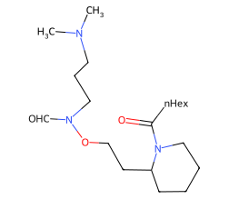 CCCCCCC(=O)N1CCCCC1CCON(C=O)CCCN(C)C